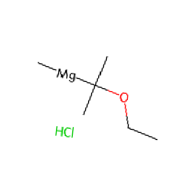 CCO[C](C)(C)[Mg][CH3].Cl